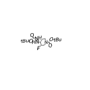 CC(C)(C)OC(=O)NNC1CCN(C(=O)OC(C)(C)C)CC1F